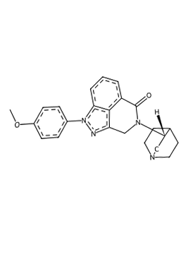 COc1ccc(-n2nc3c4c(cccc42)C(=O)N([C@H]2CN4CCC2CC4)C3)cc1